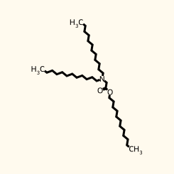 CCCCCCCCCCCCOC(=O)CN(CCCCCCCCCCCC)CCCCCCCCCCCC